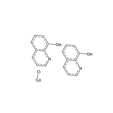 Oc1cccc2cccnc12.Oc1cccc2cccnc12.[Cl][Gd]